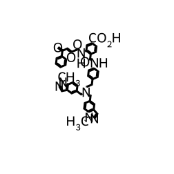 Cn1ncc2cc(CN(CCc3ccc(NC(=O)c4ccc(C(=O)O)cc4NC(=O)c4cc(=O)c5ccccc5o4)cc3)Cc3ccc4c(cnn4C)c3)ccc21